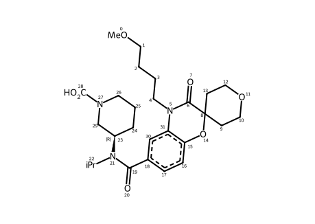 COCCCCN1C(=O)C2(CCOCC2)Oc2ccc(C(=O)N(C(C)C)[C@@H]3CCCN(C(=O)O)C3)cc21